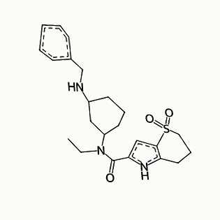 CCN(C(=O)c1cc2c([nH]1)CCCS2(=O)=O)C1CCCC(NCc2ccccc2)C1